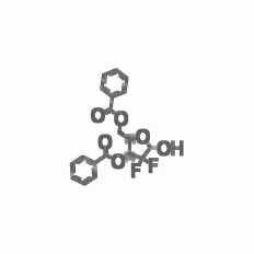 O=C(OC[C@H]1OC(O)C(F)(F)[C@@H]1OC(=O)c1ccccc1)c1ccccc1